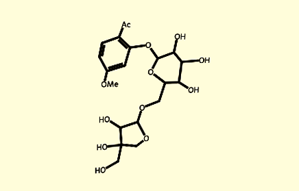 COc1ccc(C(C)=O)c(OC2OC(COC3OCC(O)(CO)C3O)C(O)C(O)C2O)c1